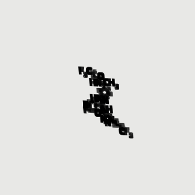 C[C@@H](NC(=O)CCC(F)(F)F)c1ccc2nc([C@@H](NC(=O)c3cn(CCCC(F)(F)F)nn3)C3CCC(F)(F)CC3)[nH]c2c1